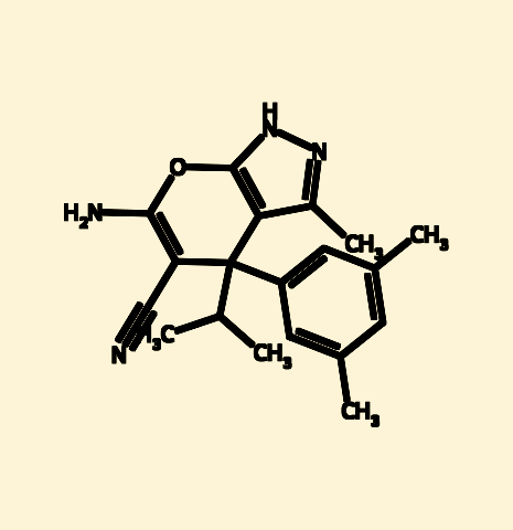 Cc1cc(C)cc(C2(C(C)C)C(C#N)=C(N)Oc3[nH]nc(C)c32)c1